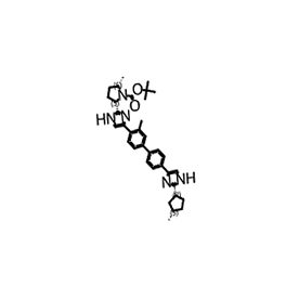 Cc1cc(-c2ccc(-c3c[nH]c([C@@H]4CC[C@H](C)C4)n3)cc2)ccc1-c1c[nH]c([C@@H]2CC[C@H](C)N2C(=O)OC(C)(C)C)n1